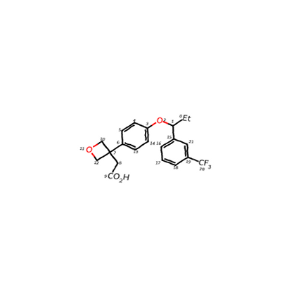 CCC(Oc1ccc(C2(CC(=O)O)COC2)cc1)c1cccc(C(F)(F)F)c1